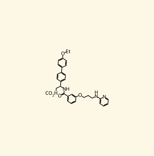 CCOc1ccc(-c2ccc(C(CC(=O)O)NC(=O)c3cccc(OCCCNc4ccccn4)c3)cc2)cc1